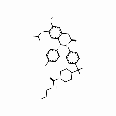 CCCNC(=O)N1CCC(C(C)(O)c2ccc(N3C(=O)Cc4cc(OC)c(OC(C)C)cc4[C@@H]3c3ccc(Cl)cc3)cc2)CC1